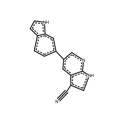 N#Cc1c[nH]c2ncc(-c3ccc4cc[nH]c4c3)cc12